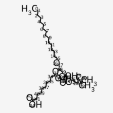 CCCCCCCCCCCCCCCCOC[C@H](COP(=O)(O)OCC[N+](C)(C)C)OC(=O)CCCCCCCCC(=O)O